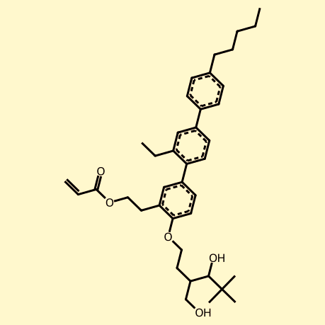 C=CC(=O)OCCc1cc(-c2ccc(-c3ccc(CCCCC)cc3)cc2CC)ccc1OCCC(CO)C(O)C(C)(C)C